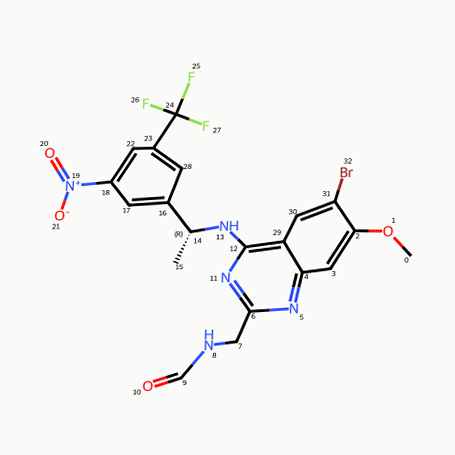 COc1cc2nc(CNC=O)nc(N[C@H](C)c3cc([N+](=O)[O-])cc(C(F)(F)F)c3)c2cc1Br